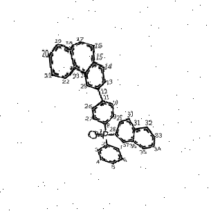 O=P(c1ccccc1)(c1ccc(-c2ccc3ccc4ccccc4c3c2)cc1)c1ccc2ccccc2c1